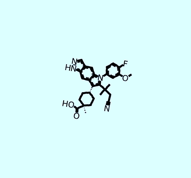 COc1cc(-n2c(C(C)(C)CC#N)c([C@H]3CC[C@](C)(C(=O)O)CC3)c3cc4[nH]ncc4cc32)ccc1F